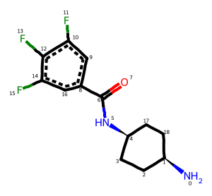 N[C@H]1CC[C@@H](NC(=O)c2cc(F)c(F)c(F)c2)CC1